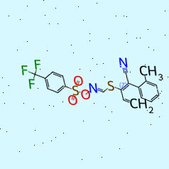 C=C/C(SC=NOS(=O)(=O)c1ccc(C(F)(F)F)cc1)=C(/C#N)c1ccccc1C